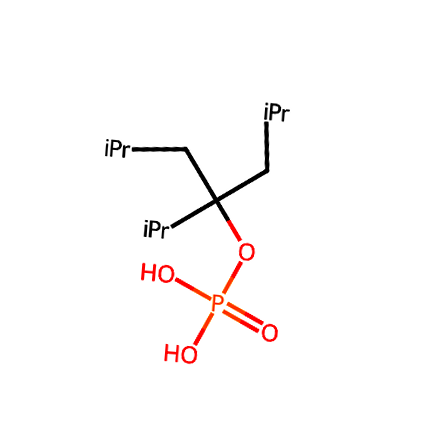 CC(C)CC(CC(C)C)(OP(=O)(O)O)C(C)C